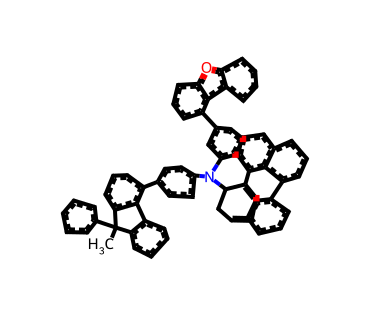 CC1(c2ccccc2)c2ccccc2-c2c(-c3ccc(N(c4cccc(-c5cccc6oc7ccccc7c56)c4)C4CC=CC=C4c4cccc5cccc(-c6ccccc6)c45)cc3)cccc21